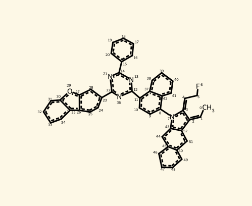 C/C=c1\c(=C/CF)n(-c2ccc(-c3nc(-c4ccccc4)nc(-c4ccc5c(c4)oc4ccccc45)n3)c3ccccc23)c2cc3ccccc3cc12